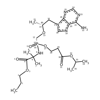 CCCOC(=O)C(C)(C)N[P@](=O)(CO[C@H](C)Cn1cnc2c(N)ncnc21)OCCC(=O)OC(C)C